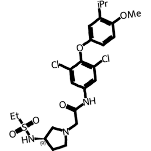 CCS(=O)(=O)N[C@@H]1CCN(CC(=O)Nc2cc(Cl)c(Oc3ccc(OC)c(C(C)C)c3)c(Cl)c2)C1